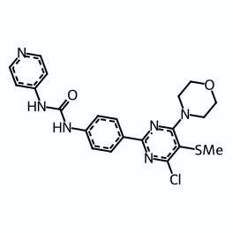 CSc1c(Cl)nc(-c2ccc(NC(=O)Nc3ccncc3)cc2)nc1N1CCOCC1